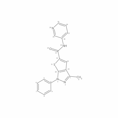 Cc1nn(-c2ccccc2)c2sc(C(=O)Nc3cccnc3)cc12